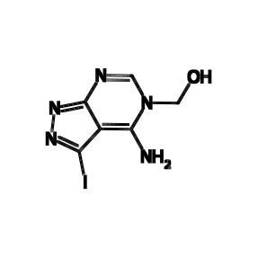 Nc1c2c(I)nnc-2ncn1CO